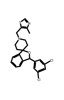 Cc1ncsc1CN1CCC2(CC1)OC(c1cc(Cl)cc(Cl)c1)c1ccccc12